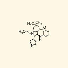 CCCn1c2c(c(Nc3ccccc3)c1-c1ccncc1)C(C=O)CC(C)(C)C2